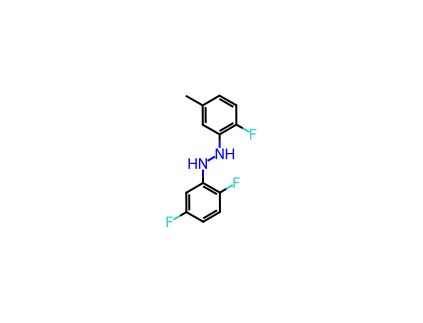 Cc1ccc(F)c(NNc2cc(F)ccc2F)c1